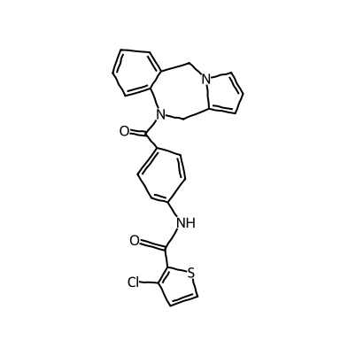 O=C(Nc1ccc(C(=O)N2Cc3cccn3Cc3ccccc32)cc1)c1sccc1Cl